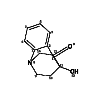 O=C1c2ccccc2N2CCC1(O)CC2